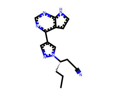 CCC[C@@H](CC#N)n1cc(-c2ncnc3[nH]ccc23)cn1